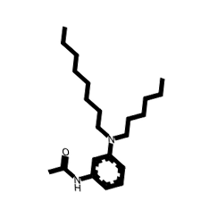 CCCCCCCCN(CCCCCC)c1cccc(NC(C)=O)c1